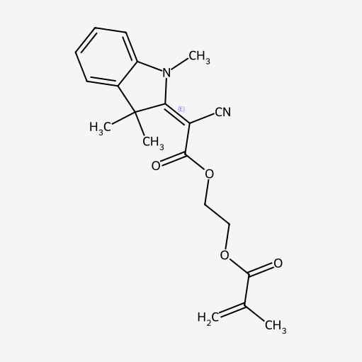 C=C(C)C(=O)OCCOC(=O)/C(C#N)=C1/N(C)c2ccccc2C1(C)C